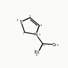 CCC([O])N1C=CSC1